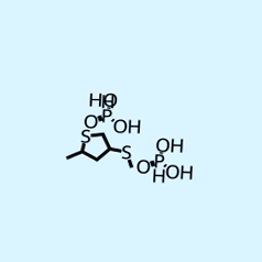 CSC1CSC(C)C1.O=[PH](O)O.O=[PH](O)O